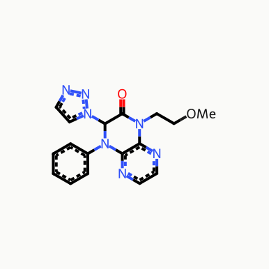 COCCN1C(=O)C(n2ccnn2)N(c2ccccc2)c2nccnc21